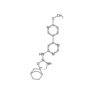 CSc1ccc(-c2cc(NN3NC[C@]4(CC5CCC4CC5)O3)ncn2)cn1